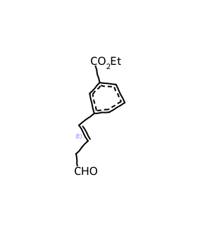 CCOC(=O)c1cccc(/C=C/CC=O)c1